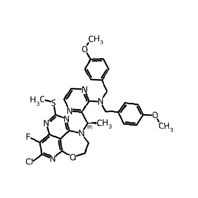 COc1ccc(CN(Cc2ccc(OC)cc2)c2nccnc2[C@@H](C)N2CCOc3nc(Cl)c(F)c4nc(SC)nc2c34)cc1